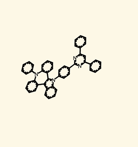 c1ccc(-c2cc(-c3ccccc3)nc(-c3ccc(-n4c5c(c6ccccc64)-c4ccccc4N(c4ccccc4)c4ccccc4-5)cc3)n2)cc1